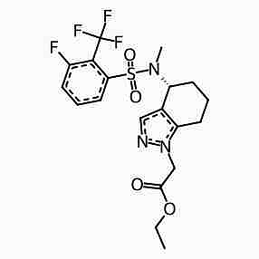 CCOC(=O)Cn1ncc2c1CCC[C@H]2N(C)S(=O)(=O)c1cccc(F)c1C(F)(F)F